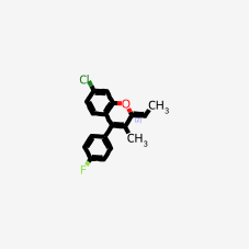 C/C=C1\Oc2cc(Cl)ccc2C(c2ccc(F)cc2)=C1C